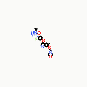 Cc1cc2c(Oc3ccc(NC(=O)NC4CC4)c(F)c3)ccnc2cc1OCCN1CCOCC1